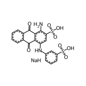 Nc1c(S(=O)(=O)O)cc(Nc2cccc(S(=O)(=O)O)c2)c2c1C(=O)c1ccccc1C2=O.[NaH]